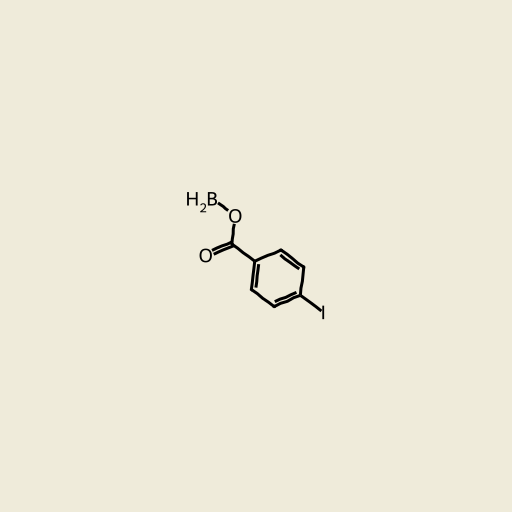 BOC(=O)c1ccc(I)cc1